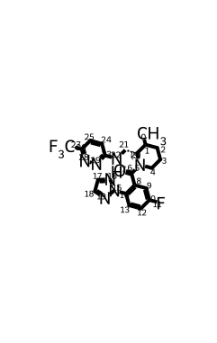 CC1CCCN(C(=O)c2cc(F)ccc2-n2nccn2)[C@@H]1CNc1ccc(C(F)(F)F)nn1